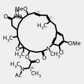 COc1cc2cc(c1Cl)N(C)C(=O)CC(OC(=O)[C@H](C)N(C)C(C)=O)C1(C)OC1C(C)C1CC(=O)NC(O)(C1)C(OC)/C=C/C=C(\C)C2